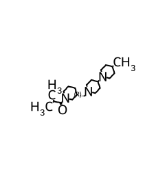 CC1CCN(C2CCN(C[C@H]3CCCN(C(=O)C(C)C)C3)CC2)CC1